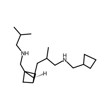 CC(C)CNCC12CC(C1)[C@@H]2CC(C)CNCC1CCC1